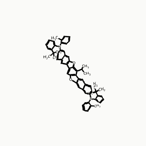 Cc1ccccc1N(c1ccc2cc3c(cc2c1)oc1c(C(C)C)c2c(cc13)oc1cc3cc(N(c4ccccc4C)c4ccccc4C(C)(C)C)ccc3cc12)c1ccccc1C(C)(C)C